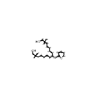 CC(C)(CO)CCCCCC(CCCCCC(C)(C)CO)OC1CCCCO1